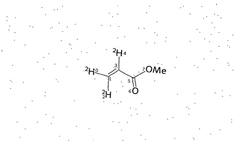 [2H]C([2H])=C([2H])C(=O)OC